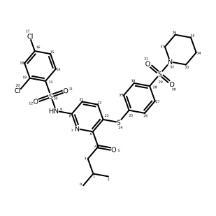 CC(C)CC(=O)c1nc(NS(=O)(=O)c2ccc(Cl)cc2Cl)ccc1Sc1ccc(S(=O)(=O)N2CCCCC2)cc1